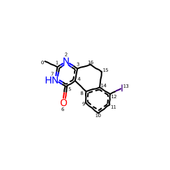 Cc1nc2c(c(=O)[nH]1)-c1cccc(I)c1CC2